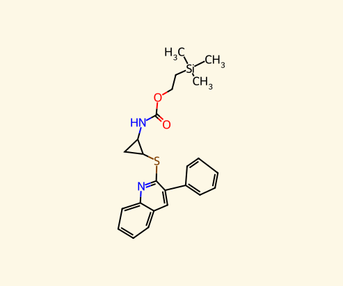 C[Si](C)(C)CCOC(=O)NC1CC1Sc1nc2ccccc2cc1-c1ccccc1